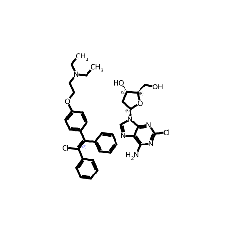 CCN(CC)CCOc1ccc(/C(=C(\Cl)c2ccccc2)c2ccccc2)cc1.Nc1nc(Cl)nc2c1ncn2[C@H]1C[C@H](O)[C@@H](CO)O1